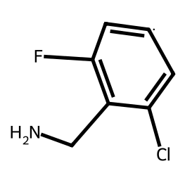 NCc1c(F)c[c]cc1Cl